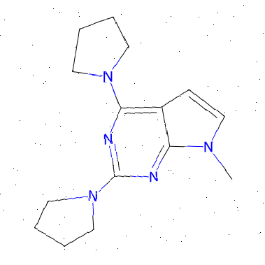 Cn1ccc2c(N3CCCC3)nc(N3CCCC3)nc21